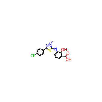 Cn1nc(-c2ccc(Cl)cc2)sc1=Nc1cccc(C(=O)O)c1O